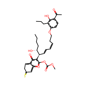 CCCC[C@@H](O)[C@@H](/C=C/C=C\CCOc1ccc(C(C)=O)c(O)c1CCC)c1c(OC(=O)OC)oc2c(c1=O)=CCC(=S)C=2